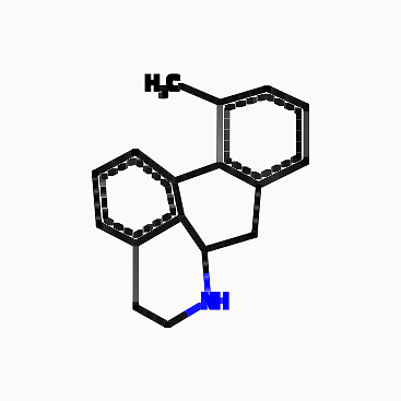 Cc1cccc2c1-c1cccc3c1C(C2)NCC3